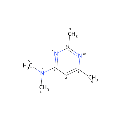 Cc1cc(N(C)C)nc(C)n1